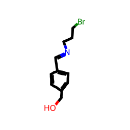 OCc1ccc(/C=N/CCCBr)cc1